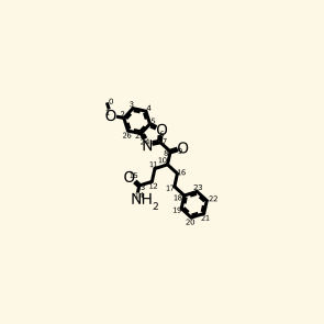 COc1ccc2oc(C(=O)C(CCC(N)=O)CCc3ccccc3)nc2c1